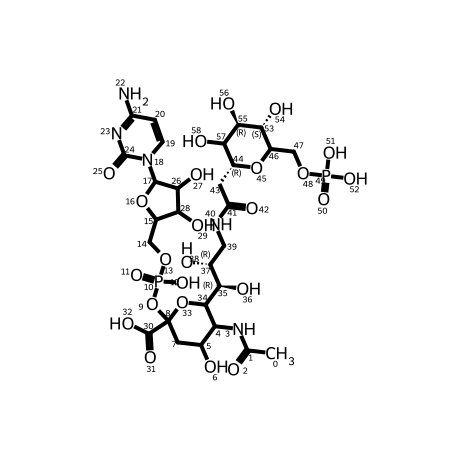 CC(=O)NC1C(O)CC(OP(=O)(O)OCC2OC(n3ccc(N)nc3=O)C(O)C2O)(C(=O)O)OC1[C@H](O)[C@H](O)CNC(=O)C[C@H]1OC(COP(=O)(O)O)[C@@H](O)[C@H](O)C1O